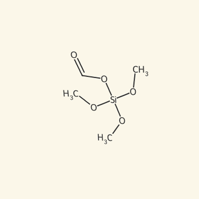 CO[Si](OC)(OC)OC=O